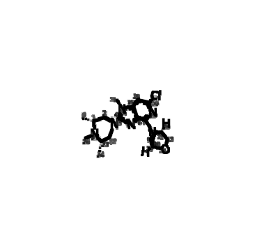 C[C@@H]1CN(c2nc3c(N4C[C@H]5C[C@@H]4CO5)nc(Cl)cc3n2C)C[C@H](C)N1C